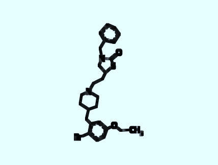 CCOc1ccc(Br)c(CC2CCN(CCC3CN(Cc4ccccc4)C(=O)S3)CC2)c1